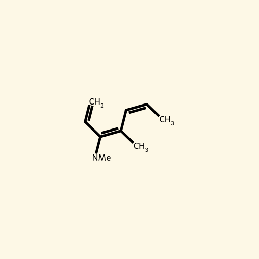 C=C/C(NC)=C(C)\C=C/C